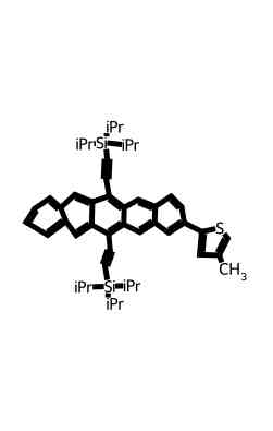 Cc1csc(-c2ccc3cc4c(C#C[Si](C(C)C)(C(C)C)C(C)C)c5cc6ccccc6cc5c(C#C[Si](C(C)C)(C(C)C)C(C)C)c4cc3c2)c1